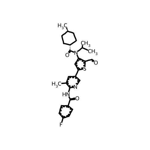 Cc1cc(-c2cc(N(C(=O)[C@H]3CC[C@H](C)CC3)C(C)C)c(C=O)s2)cnc1NC(=O)c1ccc(F)cc1